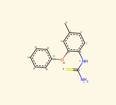 Cc1ccc(NC(N)=S)c(Oc2ccccc2)c1